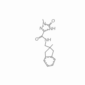 Cn1nc(C(=O)NCC2(C)Cc3ccccc3C2)[nH]c1=O